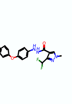 Cn1cc(C(=O)NNc2ccc(Oc3ccc(F)cc3)cc2)c(C(F)F)n1